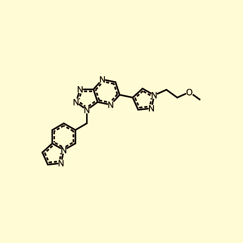 COCCn1cc(-c2cnc3nnn(Cc4ccc5ccnn5c4)c3n2)cn1